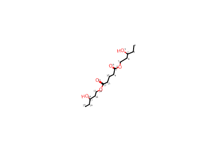 CCC(O)CCOC(=O)CCCC(=O)OCCC(O)CC